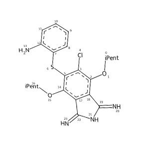 CCCC(C)Oc1c(Cl)c(Sc2ccccc2N)c(OC(C)CCC)c2c1C(=N)NC2=N